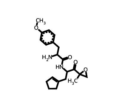 COc1ccc(CC(N)C(=O)NC(CC2=CCCC2)C(=O)C2(C)CO2)cc1